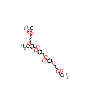 C=CC(=O)OCCCCOc1ccc(C(=O)OCCc2ccc(OC(=O)C3=CCC(C)(OCCCCOC(=O)C=C)C=C3)cc2)cc1